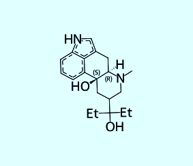 CCC(O)(CC)C1CN(C)[C@@H]2Cc3c[nH]c4cccc(c34)[C@@]2(O)C1